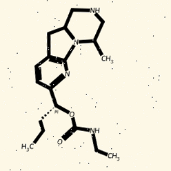 CCC[C@@H](OC(=O)NCC)c1ccc2c(n1)N1C(C)CNCC1C2